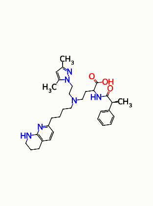 Cc1cc(C)n(CCN(CCCCc2ccc3c(n2)NCCC3)CCC(NC(=O)[C@@H](C)c2ccccc2)C(=O)O)n1